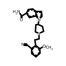 COc1cccc(C#N)c1CCN1CCC(n2ccc3ccc(C(N)=O)cc32)CC1